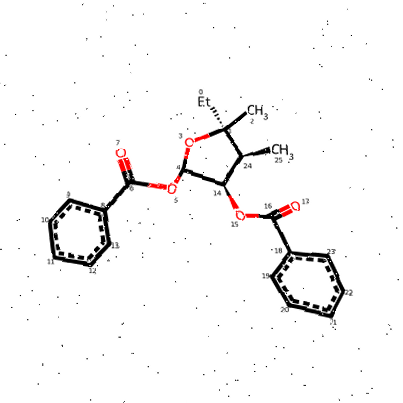 CC[C@@]1(C)OC(OC(=O)c2ccccc2)[C@H](OC(=O)c2ccccc2)[C@@H]1C